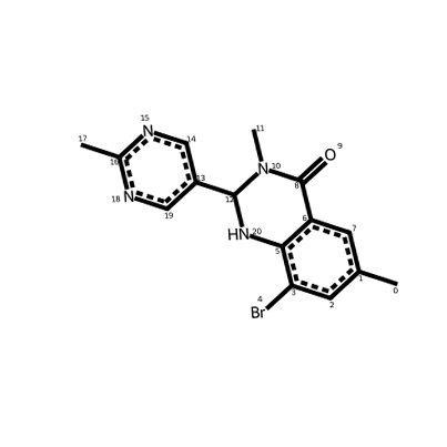 Cc1cc(Br)c2c(c1)C(=O)N(C)C(c1cnc(C)nc1)N2